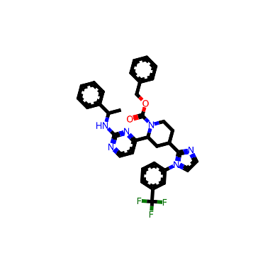 CC(Nc1nccc(C2CC(c3nccn3-c3cccc(C(F)(F)F)c3)CCN2C(=O)OCc2ccccc2)n1)c1ccccc1